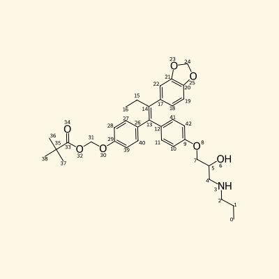 CCCNCC(O)COc1ccc(/C(=C(/CC)c2ccc3c(c2)OCO3)c2ccc(OCOC(=O)C(C)(C)C)cc2)cc1